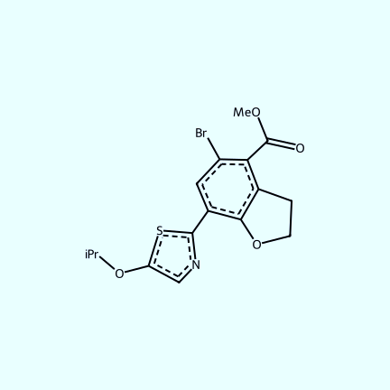 COC(=O)c1c(Br)cc(-c2ncc(OC(C)C)s2)c2c1CCO2